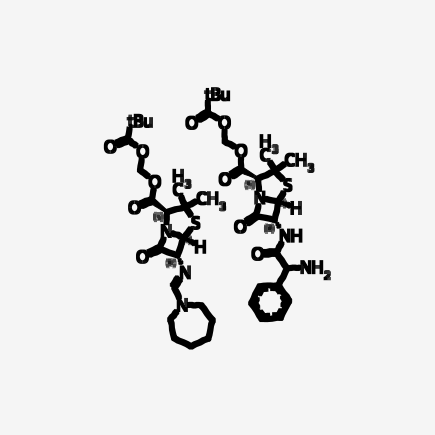 CC(C)(C)C(=O)OCOC(=O)[C@@H]1N2C(=O)[C@@H](N=CN3CCCCCC3)[C@H]2SC1(C)C.CC(C)(C)C(=O)OCOC(=O)[C@@H]1N2C(=O)[C@@H](NC(=O)C(N)c3ccccc3)[C@H]2SC1(C)C